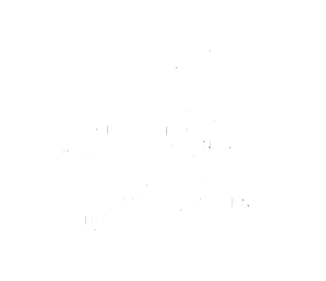 CNCc1cn(S(=O)(=O)c2cccc(C)c2)c(-c2c(F)cccc2F)c1OC.O=C(O)/C=C/C(=O)O